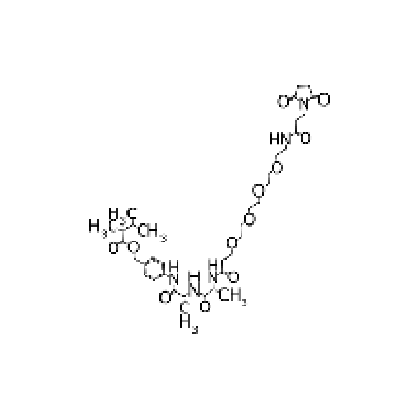 CC(C)C(C)C(=O)OCc1ccc(NC(=O)[C@@H](C)NC(=O)[C@@H](C)NC(=O)CCOCCOCCOCCOCCNC(=O)CCN2C(=O)C=CC2=O)cc1